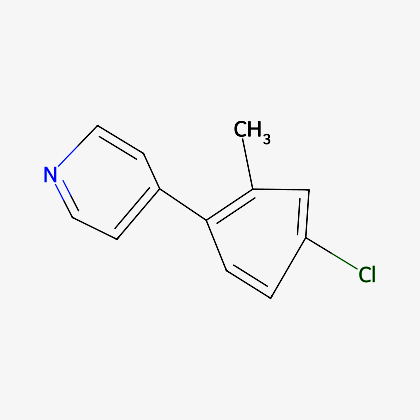 Cc1cc(Cl)ccc1-c1ccncc1